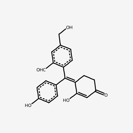 O=Cc1cc(CO)ccc1/C(=C1\CCC(=O)C=C1O)c1ccc(O)cc1